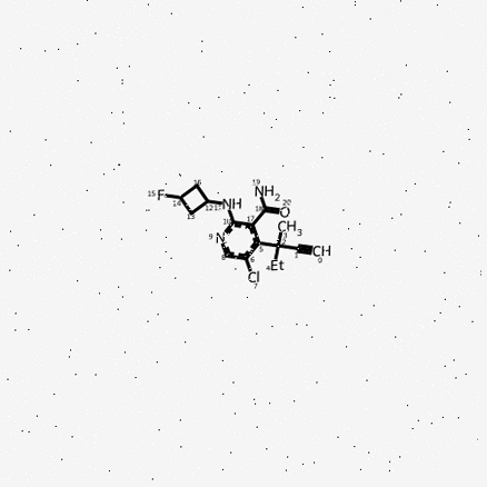 C#CC(C)(CC)c1c(Cl)cnc(NC2CC(F)C2)c1C(N)=O